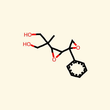 CC(CO)(CO)C1OC1C1(c2ccccc2)CO1